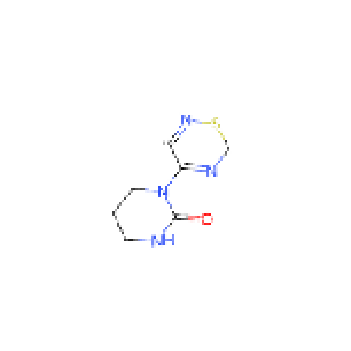 O=C1NCCCN1C1=NCSN=[C]1